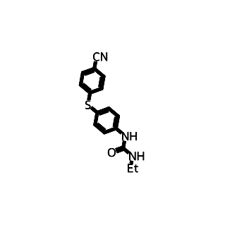 CCNC(=O)Nc1ccc(Sc2ccc(C#N)cc2)cc1